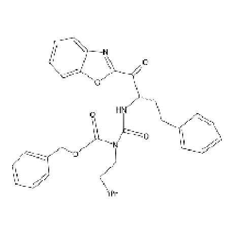 CC(C)CCN(C(=O)N[C@@H](CCc1ccccc1)C(=O)c1nc2ccccc2o1)C(=O)OCc1ccccc1